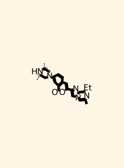 CCc1nc(C)cn2cc(-c3cc4ccc(N5C[C@@H](C)N[C@@H](C)C5)cc4c(=O)o3)nc12